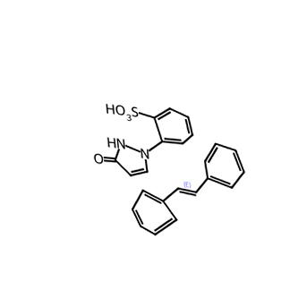 C(=C\c1ccccc1)/c1ccccc1.O=c1ccn(-c2ccccc2S(=O)(=O)O)[nH]1